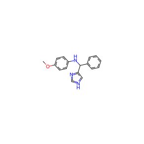 COc1ccc(NC(c2ccccc2)c2c[nH]cn2)cc1